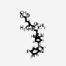 C=C(CCC(=O)OC)C(=O)N[C@H](CC)[C@H]1[C@@H]2C[C@@H](n3cnc4cc(F)c(F)cc43)C[C@@H]21